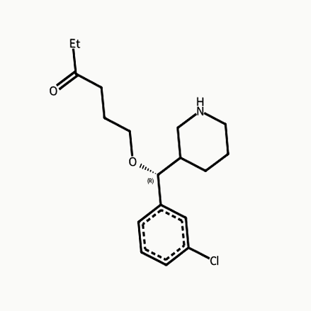 CCC(=O)CCCO[C@@H](c1cccc(Cl)c1)C1CCCNC1